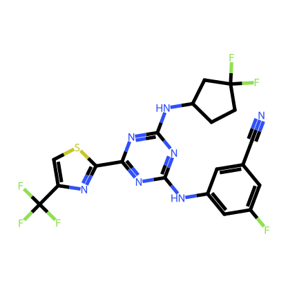 N#Cc1cc(F)cc(Nc2nc(NC3CCC(F)(F)C3)nc(-c3nc(C(F)(F)F)cs3)n2)c1